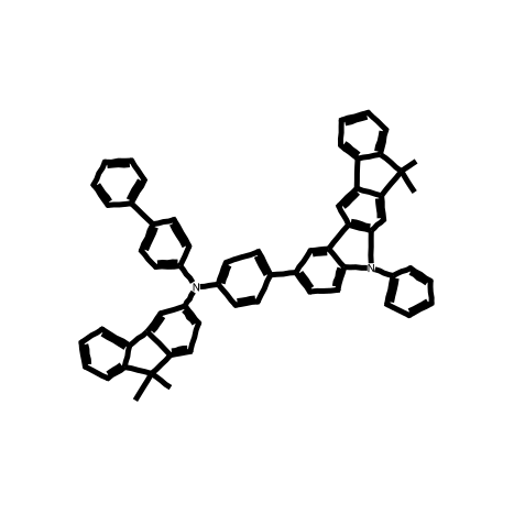 CC1(C)c2ccccc2-c2cc(N(c3ccc(-c4ccccc4)cc3)c3ccc(-c4ccc5c(c4)c4cc6c(cc4n5-c4ccccc4)C(C)(C)c4ccccc4-6)cc3)ccc21